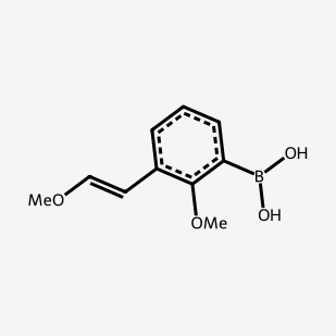 COC=Cc1cccc(B(O)O)c1OC